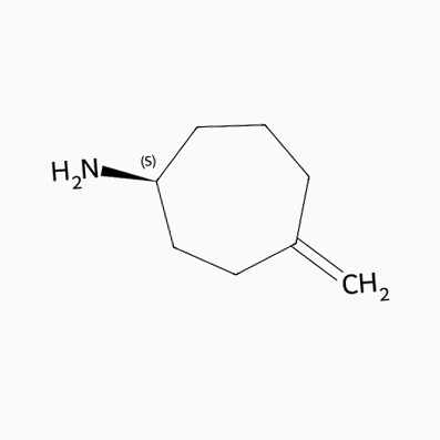 C=C1CCC[C@H](N)CC1